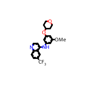 COc1cc(Nc2ccnc3ccc(C(F)(F)F)cc23)cc(OC2CCOCC2)c1